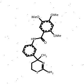 COc1cc(OC)c(C(=O)Nc2cccc(C3(C)CCSC(N)=N3)c2)cc1OC